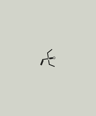 C=CP(=O)(CC)CC